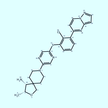 C[C@H]1OCC2(CCN(c3cnc(Sc4cccc(-c5ccn6nccc6n5)c4Cl)cn3)CC2)[C@H]1N